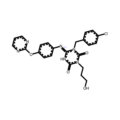 O=c1[nH]/c(=N\c2ccc(Oc3ncccn3)cc2)n(Cc2ccc(Cl)cc2)c(=O)n1CCCO